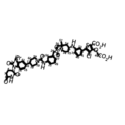 CC(C)n1c(=O)n([C@H]2CCC(=O)NC2=O)c2ccc(C3CCN(C(=O)Nc4cccc(CS(=O)(=O)N5CC[C@H](Nc6cccc(-c7sc(C(=O)O)c(OCC(=O)O)c7Cl)c6)CC5(C)C)c4)CC3)cc21